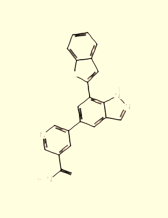 NC(=O)c1cncc(-c2cc(-c3cc4ccccc4s3)c3[nH]ncc3c2)c1